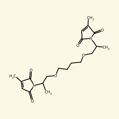 CC1=CC(=O)N(C(C)COCCCCOCC(C)N2C(=O)C=C(C)C2=O)C1=O